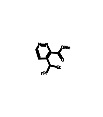 CCCC(CC)c1ccnnc1C(=O)OC